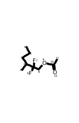 CCCC(C)C(F)(F)COC(C)=O